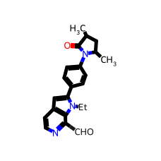 CCn1c(-c2ccc(N3C(=O)C(C)CC3C)cc2)cc2ccnc(C=O)c21